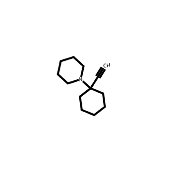 C#CC1(N2CCCCC2)CCCCC1